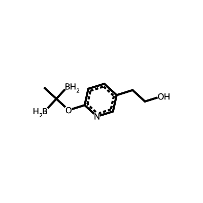 BC(B)(C)Oc1ccc(CCO)cn1